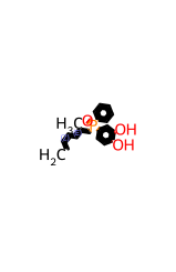 C=C/C=C\C=C(/C)CP(=O)(c1ccccc1)c1ccc(O)c(O)c1